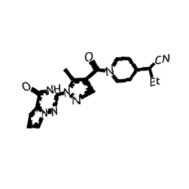 CCC(C#N)C1CCN(C(=O)c2cnn(-c3nn4cccc4c(=O)[nH]3)c2C)CC1